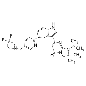 CC(C)N1c2nc(-c3c[nH]c4ccc(-c5ccc(CN6CCC(F)(F)C6)cn5)cc34)cc(=O)n2CC1(C)C